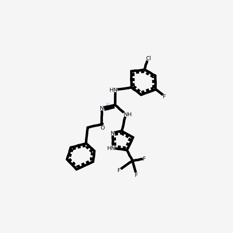 O=C(Cc1ccccc1)/N=C(/Nc1cc(F)cc(Cl)c1)Nc1cc(C(F)(F)F)[nH]n1